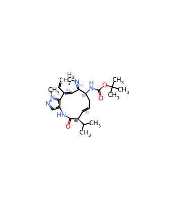 C=C/C1=C\C(=N/C)[C@@H](NC(=O)OC(C)(C)C)C/C=C/[C@@H](C(C)C)C(=O)Nc2cnn(C)c21